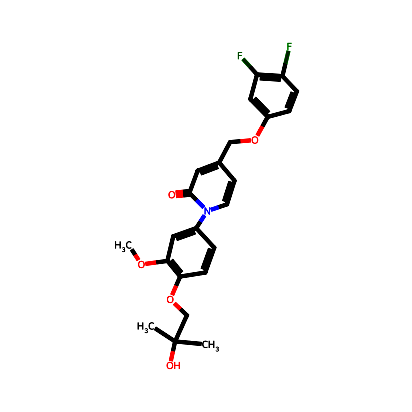 COc1cc(-n2ccc(COc3ccc(F)c(F)c3)cc2=O)ccc1OCC(C)(C)O